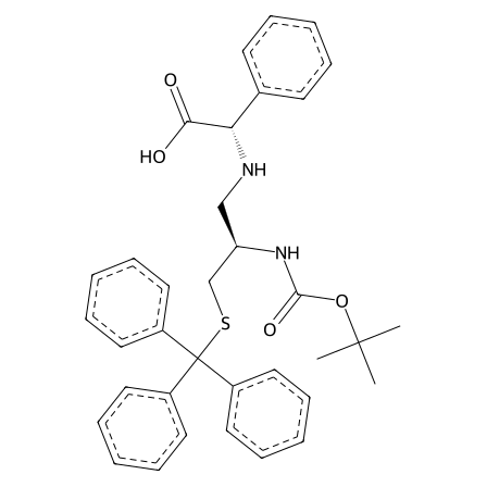 CC(C)(C)OC(=O)N[C@H](CN[C@H](C(=O)O)c1ccccc1)CSC(c1ccccc1)(c1ccccc1)c1ccccc1